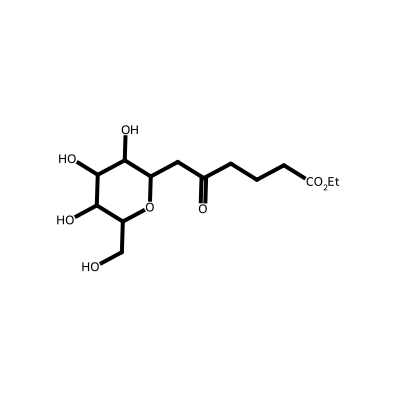 CCOC(=O)CCCC(=O)CC1OC(CO)C(O)C(O)C1O